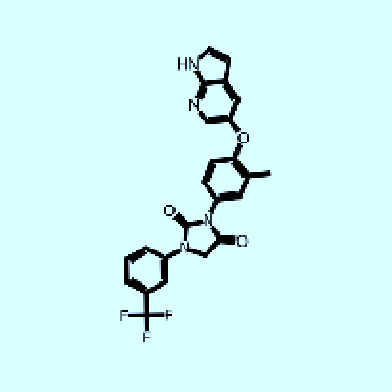 Cc1cc(N2C(=O)CN(c3cccc(C(F)(F)F)c3)C2=O)ccc1Oc1cnc2[nH]ccc2c1